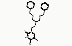 O=c1[nH]c(=O)n(COC(COCc2ccccc2)COCc2ccccc2)cc1F